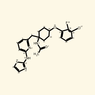 CC(=O)NC1(Cc2cccc(Nc3nccs3)n2)CCC(Oc2cccc(Cl)c2F)CC1